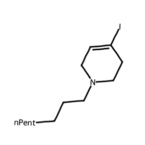 CCCCCCCCN1CC=C(I)CC1